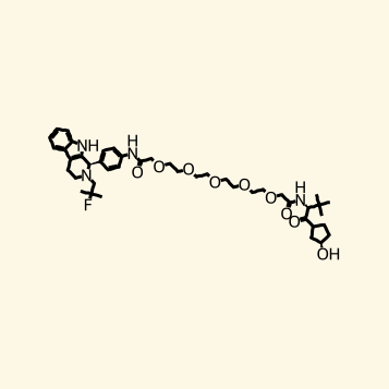 CC(C)(F)CN1CCc2c([nH]c3ccccc23)[C@H]1c1ccc(NC(=O)COCCOCCOCCOCCOCC(=O)N[C@H](C(=O)C2CC[C@@H](O)C2)C(C)(C)C)cc1